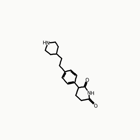 O=C1CCC(c2ccc(CCC3CCNCC3)cc2)C(=O)N1